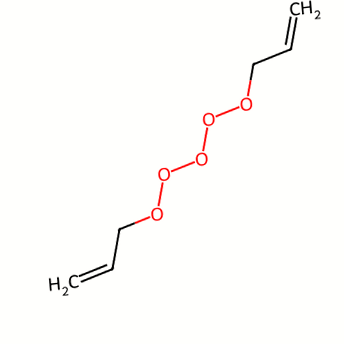 C=CCOOOOOCC=C